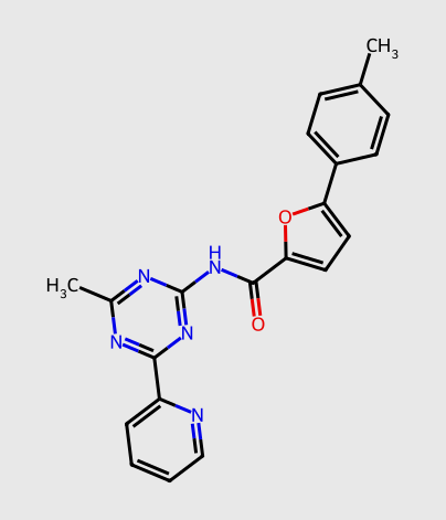 Cc1ccc(-c2ccc(C(=O)Nc3nc(C)nc(-c4ccccn4)n3)o2)cc1